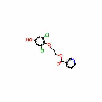 O=C(OCCCOc1c(Cl)cc(O)cc1Cl)c1cccnc1